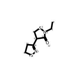 CCN1SCC(C2=NSCC2)C1=O